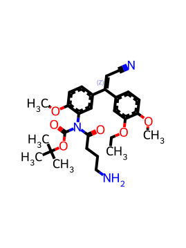 CCOc1cc(/C(=C\C#N)c2ccc(OC)c(N(C(=O)CCCN)C(=O)OC(C)(C)C)c2)ccc1OC